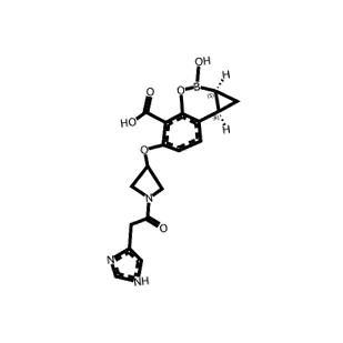 O=C(O)c1c(OC2CN(C(=O)Cc3c[nH]cn3)C2)ccc2c1OB(O)[C@H]1C[C@@H]21